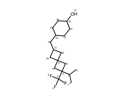 CC(C)C1(C(F)(F)F)CC2(CC(CC3CCC(O)CC3)C2)C1